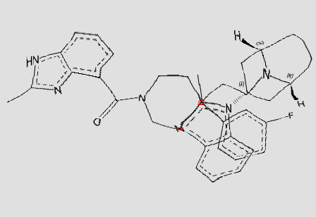 Cc1nc2c(C(=O)N3CCC(CCN4[C@@H]5CC[C@H]4C[C@@H](n4c(C)nc6ccccc64)C5)(c4cccc(F)c4)CC3)cccc2[nH]1